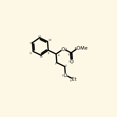 CCOCCC(OC(=O)OC)c1ccccc1